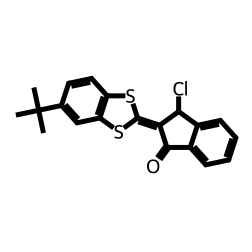 CC(C)(C)c1ccc2c(c1)S/C(=C1\C(=O)c3ccccc3C1Cl)S2